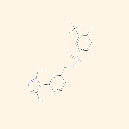 Cc1noc(C)c1-c1cccc(CNS(=O)(=O)c2ccc(Cl)c(C(F)(F)F)c2)c1